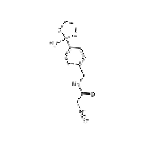 [C-]#[N+]CC(=O)NCc1ccc(C2(C)OCCO2)cc1